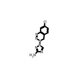 Nc1ncn(N2Cc3ccc(Cl)cc3N=N2)n1